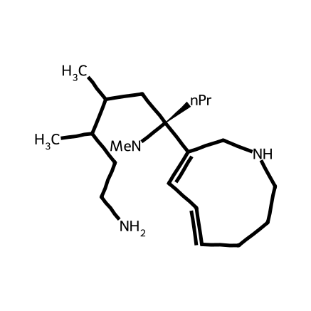 CCC[C@](CC(C)C(C)CCN)(NC)/C1=C/C=C/CCCNC1